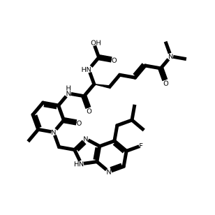 Cc1ccc(NC(=O)[C@H](CC/C=C/C(=O)N(C)C)NC(=O)O)c(=O)n1Cc1nc2c(CC(C)C)c(F)cnc2[nH]1